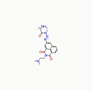 C[C@H](N)C(=O)N(C)/N=N/c1cc2c3c(cccc3c1)C(=O)N(CCN(C)C)C2=O